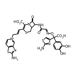 Nc1nc(C(ON=CC(=O)NC2C(=O)N3C(C(=O)O)=C(C=CC[n+]4ccc5sc(N)nc5c4)SCC23)(C(=O)O)c2ccc(O)c(O)c2)cs1